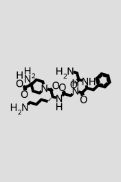 NCCCC[C@@H](NC(=O)CNC(=O)C(Cc1ccccc1)NC(=O)CN)C(=O)N1CCC(N)(C(=O)O)CC1